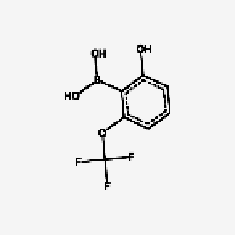 OB(O)c1c(O)cccc1OC(F)(F)F